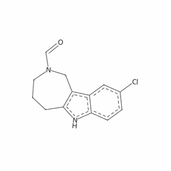 O=CN1CCCc2[nH]c3ccc(Cl)cc3c2C1